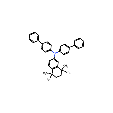 CC1(C)CCC(C)(C)c2cc(N(c3ccc(-c4ccccc4)cc3)c3ccc(-c4ccccc4)cc3)ccc21